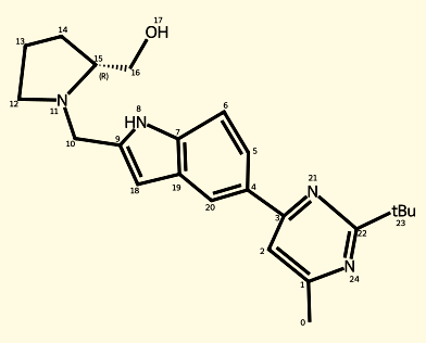 Cc1cc(-c2ccc3[nH]c(CN4CCC[C@@H]4CO)cc3c2)nc(C(C)(C)C)n1